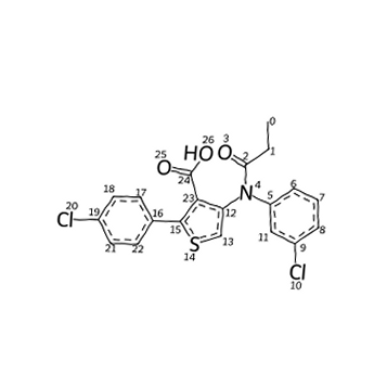 CCC(=O)N(c1cccc(Cl)c1)c1csc(-c2ccc(Cl)cc2)c1C(=O)O